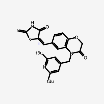 CC(C)(C)c1cc(CN2C(=O)COc3ccc(/C=C4/SC(=S)NC4=O)cc32)cc(C(C)(C)C)n1